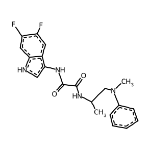 CC(CN(C)c1ccccc1)NC(=O)C(=O)Nc1c[nH]c2cc(F)c(F)cc12